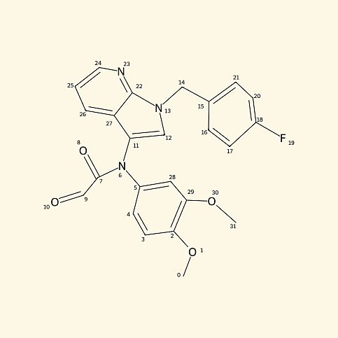 COc1ccc(N(C(=O)C=O)c2cn(Cc3ccc(F)cc3)c3ncccc23)cc1OC